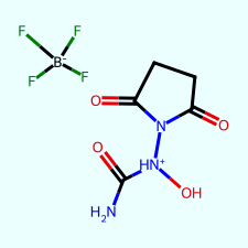 F[B-](F)(F)F.NC(=O)[NH+](O)N1C(=O)CCC1=O